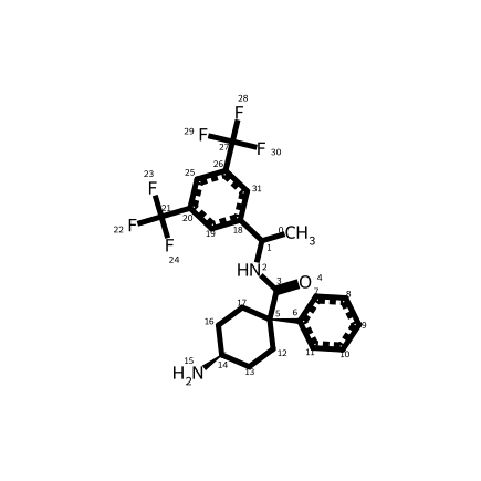 CC(NC(=O)[C@]1(c2ccccc2)CC[C@@H](N)CC1)c1cc(C(F)(F)F)cc(C(F)(F)F)c1